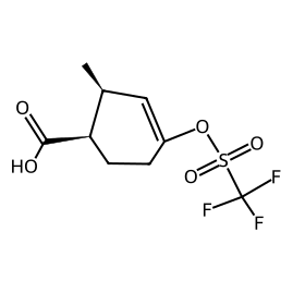 C[C@H]1C=C(OS(=O)(=O)C(F)(F)F)CC[C@H]1C(=O)O